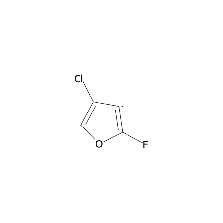 Fc1[c]c(Cl)co1